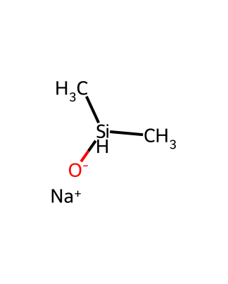 C[SiH](C)[O-].[Na+]